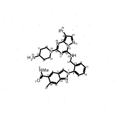 CNC(=O)c1cc2cn(-c3ccccc3CNc3nc(N4CCC(N)CC4)nc4c(C(C)C)cnn34)nc2cc1C